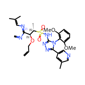 C=CCO[C@@H](/C(N=C)=N/C=C(C)C)[C@H](C)S(=O)(=O)Nc1nnc(-c2cncc(C)c2)n1-c1c(OC)cccc1OC